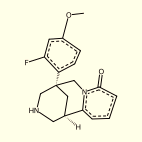 COc1ccc([C@@]23CNC[C@@H](C2)c2cccc(=O)n2C3)c(F)c1